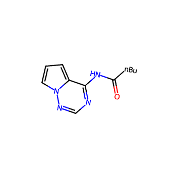 CCCCC(=O)Nc1ncnn2cccc12